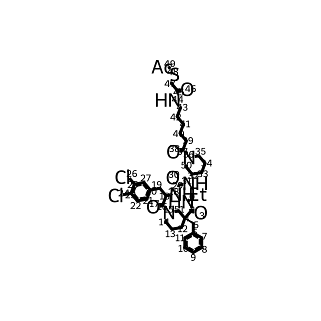 CCNC(=O)[C@]1(Cc2ccccc2)CCCN(C(=O)C(Cc2ccc(Cl)c(Cl)c2)NC(=O)N[C@@H]2CCCN(C(=O)CCCCCNC(=O)CSC(C)=O)C2)C1